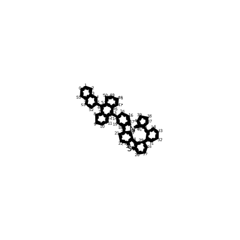 c1ccc2cc(-c3c4ccccc4c(-c4ccc5c(c4)c4ccc6sc7cccc8c9ccccc9c9ccccc9n5c4c6c78)c4ccccc34)ccc2c1